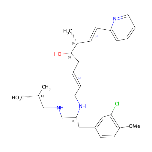 COc1ccc(C[C@H](CNC[C@@H](C)C(=O)O)NC/C=C/C[C@H](O)[C@H](C)/C=C/c2ccccn2)cc1Cl